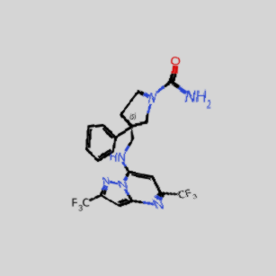 NC(=O)N1CC[C@@](CNc2cc(C(F)(F)F)nc3cc(C(F)(F)F)nn23)(c2ccccc2)C1